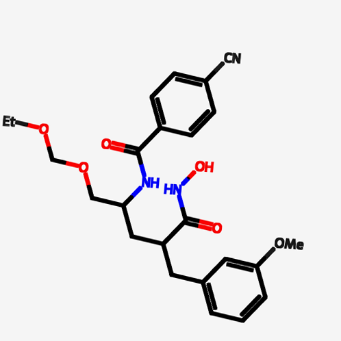 CCOCOCC(CC(Cc1cccc(OC)c1)C(=O)NO)NC(=O)c1ccc(C#N)cc1